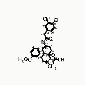 COc1cccc([C@@]23CCN(C)C[C@@]2(OC(C)=O)CC[C@@H](NC(=O)Cc2ccc(Cl)c(Cl)c2)C3)c1